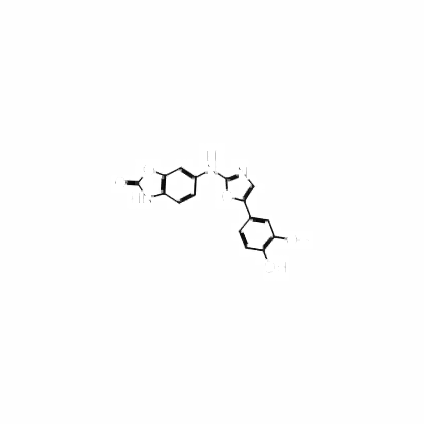 O=c1[nH]c2ccc(Nc3ncc(-c4ccc(O)c(O)c4)o3)cc2o1